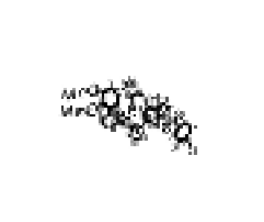 COc1cc(-n2cnc(Nc3nc(N4CCC[C@H]4C(N)=O)nc4c3ccn4S(=O)(=O)c3ccc(C)cc3)c2)cc(OC)c1OC